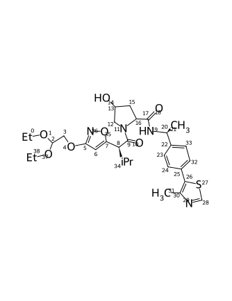 CCOC(COc1cc([C@@H](C(=O)N2CC(O)CC2C(=O)N[C@@H](C)c2ccc(-c3scnc3C)cc2)C(C)C)on1)OCC